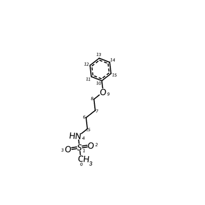 CS(=O)(=O)N[CH]CCCOc1ccccc1